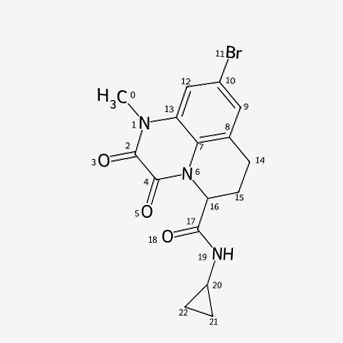 Cn1c(=O)c(=O)n2c3c(cc(Br)cc31)CCC2C(=O)NC1CC1